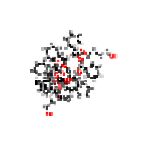 C[SiH2]O[Si]1(c2ccccc2)O[Si]2(c3ccccc3)O[Si](OCCCCO)(c3ccccc3)O[Si](c3ccccc3)(O1)O[Si]1(c3ccccc3)O[Si](O[SiH2]C)(c3ccccc3)O[Si](c3ccccc3)(O[Si](O[Si](C)(C)CCCO)(c3ccccc3)O1)O2